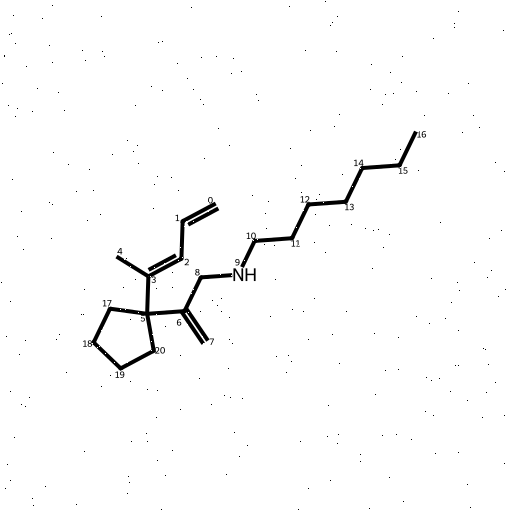 C=C/C=C(\C)C1(C(=C)CNCCCCCCC)CCCC1